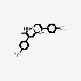 CC1=C(c2ccc(C(F)(F)F)cc2)C=C2NC(c3ccc(C(F)(F)F)cc3)=CCN2N1